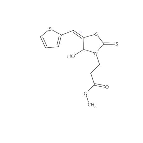 COC(=O)CCN1C(=S)S/C(=C/c2cccs2)C1O